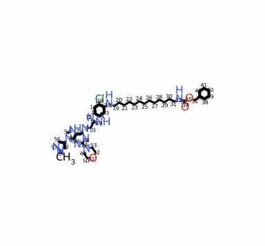 Cn1cc(-n2cnc3c(NCc4nc5cc(Cl)c(NCCCCCCCCCCCCCNC(=O)OCc6ccccc6)cc5[nH]4)nc(N4CCOCC4)nc32)cn1